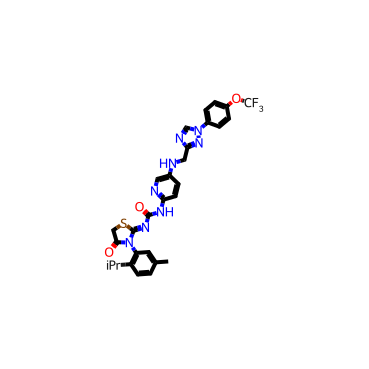 Cc1ccc(C(C)C)c(N2C(=O)CS/C2=N\C(=O)Nc2ccc(NCc3ncn(-c4ccc(OC(F)(F)F)cc4)n3)cn2)c1